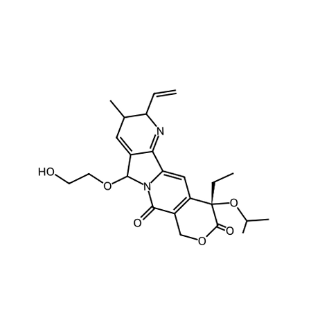 C=CC1N=C2C(=CC1C)C(OCCO)n1c2cc2c(c1=O)COC(=O)[C@@]2(CC)OC(C)C